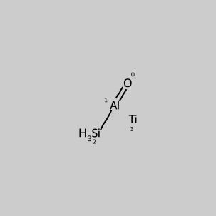 [O]=[Al][SiH3].[Ti]